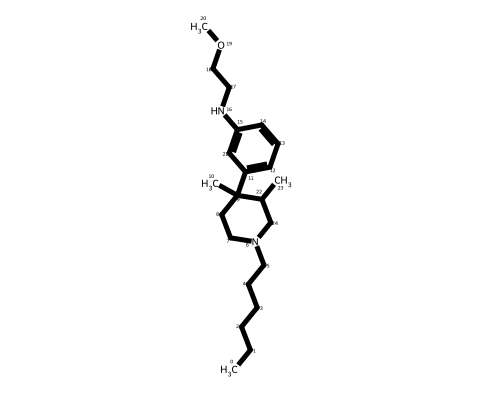 CCCCCCN1CCC(C)(c2cccc(NCCOC)c2)C(C)C1